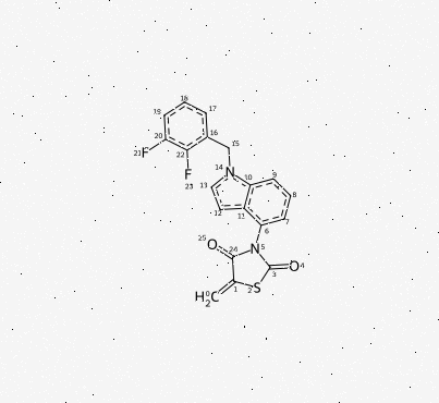 C=C1SC(=O)N(c2cccc3c2ccn3Cc2cccc(F)c2F)C1=O